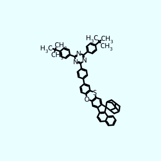 CC(C)(C)c1ccc(-c2nc(-c3ccc(-c4ccc5c(c4)Sc4cc6c(cc4O5)-c4ccc5ccccc5c4C64C5CC6CC(C5)CC4C6)cc3)nc(-c3ccc(C(C)(C)C)cc3)n2)cc1